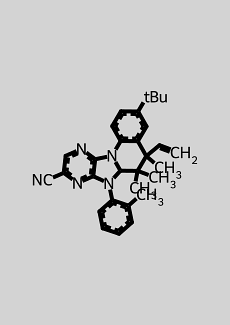 C=CC1(C)c2cc(C(C)(C)C)ccc2N2c3ncc(C#N)nc3N(c3ccccc3C)C2C1(C)C